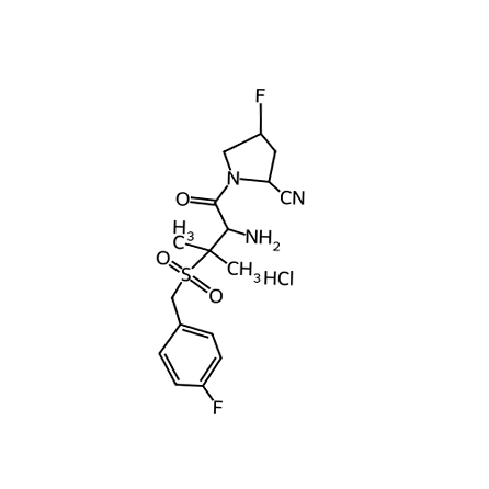 CC(C)(C(N)C(=O)N1CC(F)CC1C#N)S(=O)(=O)Cc1ccc(F)cc1.Cl